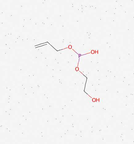 C=CCOP(O)OCCO